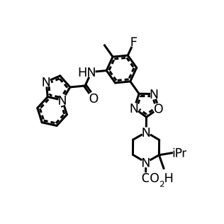 Cc1c(F)cc(-c2noc(N3CCN(C(=O)O)C(C)(C(C)C)C3)n2)cc1NC(=O)c1cnc2ccccn12